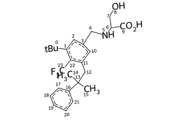 CC(C)(C)c1cc(CNC(CO)C(=O)O)cc(CC(C)(C)c2ccccc2)c1C(F)(F)F